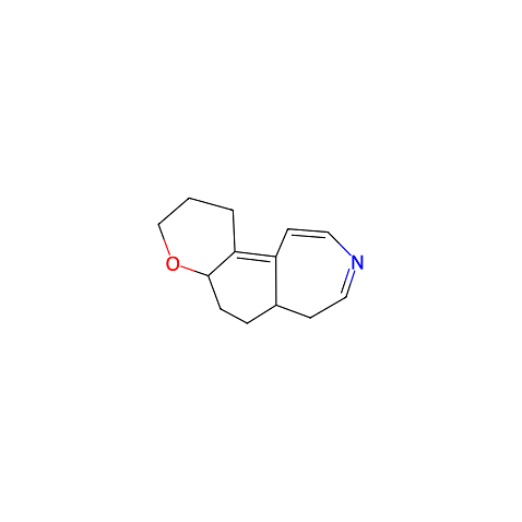 C1=CC2=C3CCCOC3CCC2CC=N1